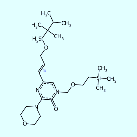 CC(C)C(C)(C)[SiH2]OC/C=C/c1cn(COCC[Si](C)(C)C)c(=O)c(N2CCOCC2)n1